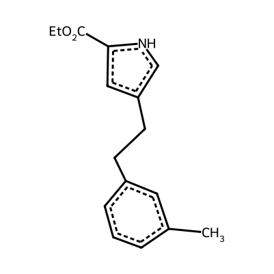 CCOC(=O)c1cc(CCc2cccc(C)c2)c[nH]1